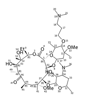 CC[C@H]1OC(=O)[C@H](C)[C@@H](OC2CC(C)(OC)C(OCCCN(C)C)C(C)O2)[C@H](C)[C@@H](OC2OC(C)CC(N(C)C)C2O)[C@](C)(OC)C[C@@H](C)C(=O)[C@H](C)[C@@H](O)[C@]1(C)O